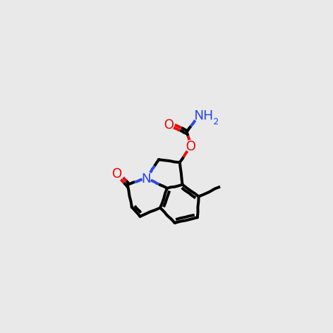 Cc1ccc2ccc(=O)n3c2c1C(OC(N)=O)C3